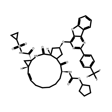 O=C(N[C@H]1CCCCC/C=C\[C@@H]2C[C@@]2(C(=O)NS(=O)(=O)C2CC2)NC(=O)[C@@H]2C[C@@H](Oc3nc(-c4ccc(C(F)(F)F)cc4)nc4c3oc3ccccc34)CC2C1=O)OC1CCCC1